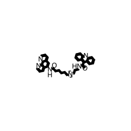 C[N+](C)(CCCCCC(=O)Nc1cc2cccnc2c2ncccc12)CCCNC(=O)c1c2ccccc2nc2ccccc12